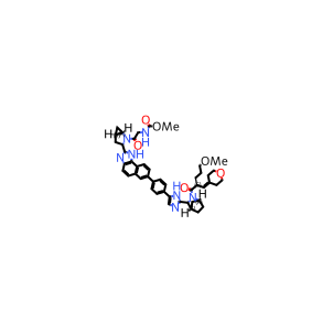 COCCC[C@@H](C=C1CCOCC1)C(=O)N1C(c2ncc(-c3ccc(-c4ccc5c(ccc6nc(C7C[C@H]8C[C@H]8N7C(=O)CNC(=O)OC)[nH]c65)c4)cc3)[nH]2)[C@H]2CC[C@@H]1C2